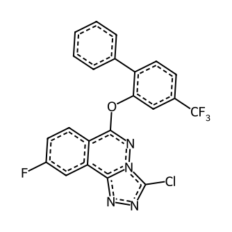 Fc1ccc2c(Oc3cc(C(F)(F)F)ccc3-c3ccccc3)nn3c(Cl)nnc3c2c1